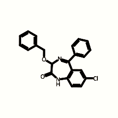 O=C1Nc2ccc(Cl)cc2C(c2ccccc2)=NC1OCc1ccccc1